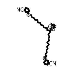 CC1(C)OB(C(=CCCCCCCCCCCCCOc2cccc(C#N)c2)CCCCCCCCCCCCOc2cccc(C#N)c2)OC1(C)C